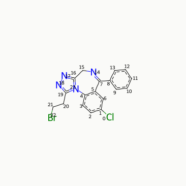 Clc1ccc2c(c1)C(c1ccccc1)=NCc1nnc(CCBr)n1-2